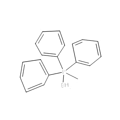 BP(C)(c1ccccc1)(c1ccccc1)c1ccccc1